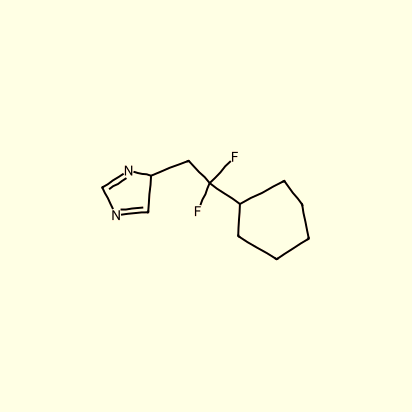 FC(F)(CC1C=NC=N1)C1CCCCC1